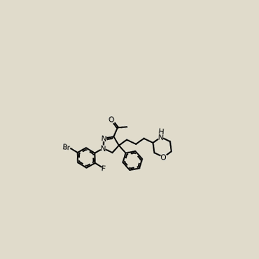 CC(=O)C1=NN(c2cc(Br)ccc2F)CC1(CCCC1COCCN1)c1ccccc1